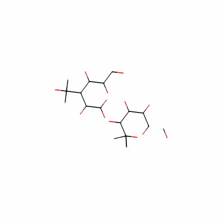 CCC(O)(CC)C1C(O)C(CO)OC(OC2C(O)C(O)[C@H](CO)OC2(C)CC)C1O